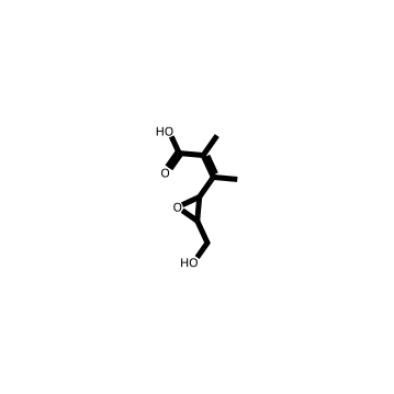 CC(C(=O)O)=C(C)C1OC1CO